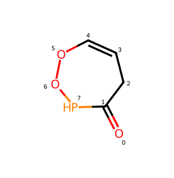 O=C1CC=COOP1